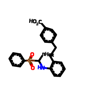 CCCCCCC(Nc1ccccc1CCc1ccc(C(=O)O)cc1)S(=O)(=O)c1ccccc1